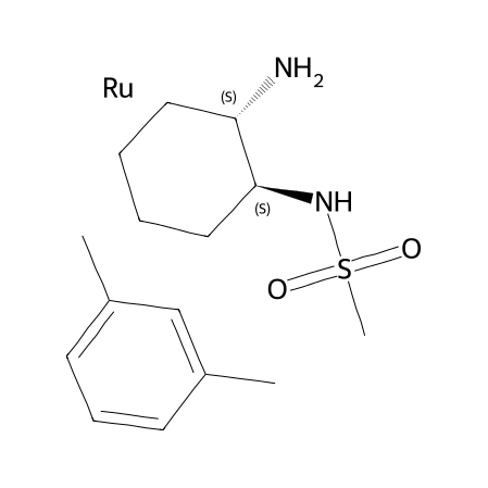 CS(=O)(=O)N[C@H]1CCCC[C@@H]1N.Cc1cccc(C)c1.[Ru]